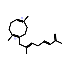 C=C(C)C=CCC=C(C)C/C1=C(\C)CC/C=C(/C)CC1